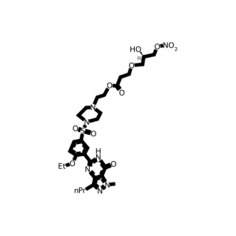 CCCc1nn(C)c2c(=O)[nH]c(-c3cc(S(=O)(=O)N4CCN(CCOC(=O)CCOC[C@H](O)CO[N+](=O)[O-])CC4)ccc3OCC)nc12